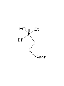 CCCCCCC[PH](O)(CC)CC